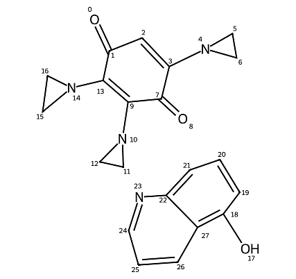 O=C1C=C(N2CC2)C(=O)C(N2CC2)=C1N1CC1.Oc1cccc2ncccc12